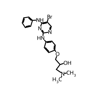 CN(C)CC(O)COc1ccc(Nc2ncc(Br)c(Nc3ccccc3)n2)cc1